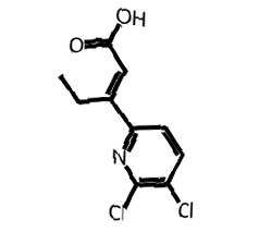 CC/C(=C\C(=O)O)c1ccc(Cl)c(Cl)n1